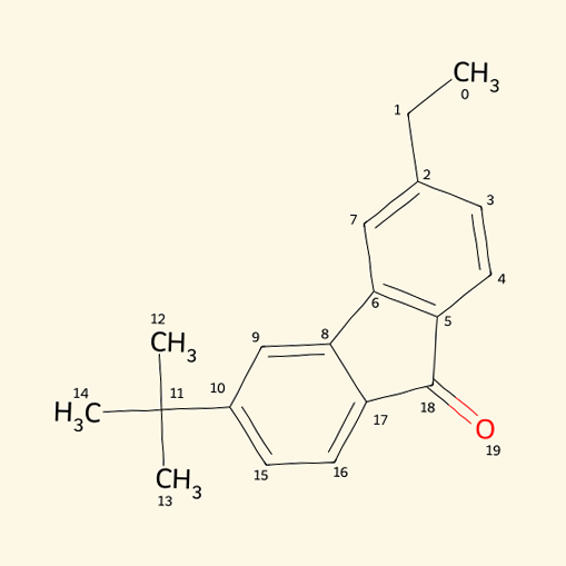 CCc1ccc2c(c1)-c1cc(C(C)(C)C)ccc1C2=O